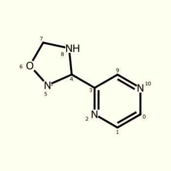 c1cnc(C2[N]OCN2)cn1